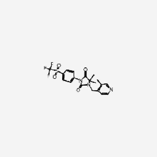 Cc1cnccc1CN1C(=O)N(c2ccc(S(=O)(=O)C(F)(F)F)cc2)C(=O)C1(C)C